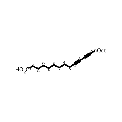 CCCCCCCCC#CC#CCCCCCCCCC(=O)O